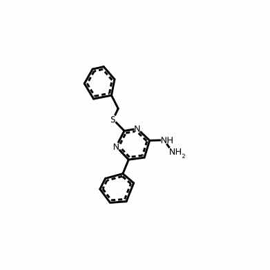 NNc1cc(-c2ccccc2)nc(SCc2ccccc2)n1